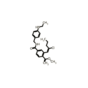 C=C(OC)c1ccc(C(=O)NCc2ccc(NCC)cc2)cc1/C=C(/Cl)CCC